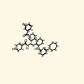 O=C(NCCC1C(Nc2nccc(N3CCCCCC3)n2)CCCN1C1CCN(C(=O)c2cccc(F)c2)CC1)C1CCNCC1